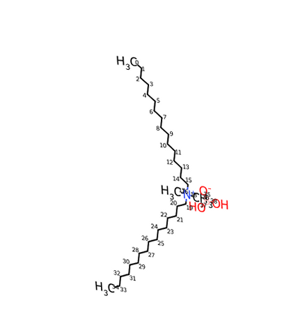 CCCCCCCCCCCCCCCC[N+](C)(C)CCCCCCCCCCCCCCCC.[O-]B(O)O